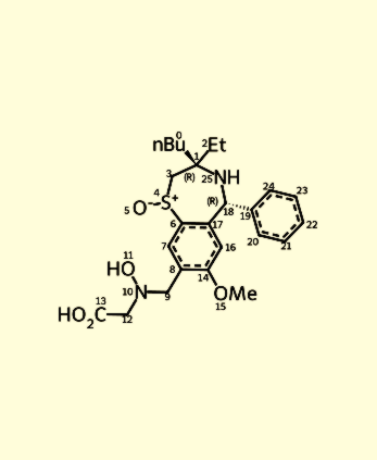 CCCC[C@]1(CC)C[S+]([O-])c2cc(CN(O)CC(=O)O)c(OC)cc2[C@@H](c2ccccc2)N1